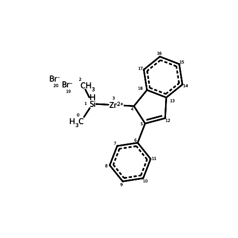 C[SiH](C)[Zr+2][CH]1C(c2ccccc2)=Cc2ccccc21.[Br-].[Br-]